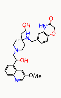 COc1cnc2cccc(C(O)CN3CCC(CCO)(NCc4ccc5c(c4)NC(=O)CO5)CC3)c2c1